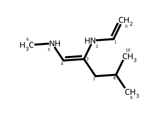 C=CN/C(=C\NC)CC(C)C